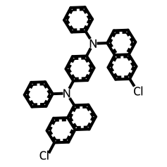 Clc1ccc2c(N(c3ccccc3)c3ccc(N(c4ccccc4)c4cccc5cc(Cl)ccc45)cc3)cccc2c1